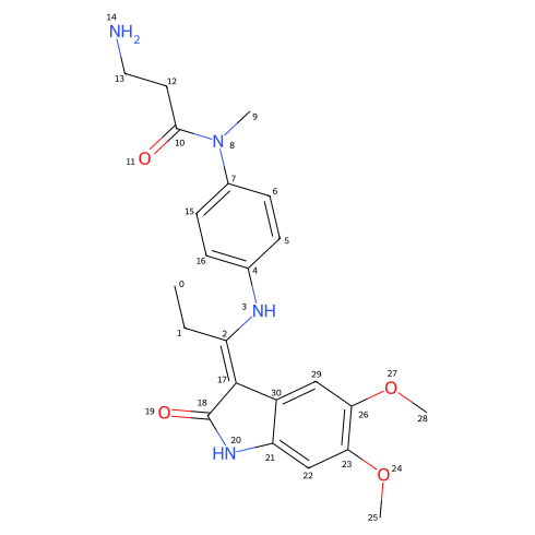 CC/C(Nc1ccc(N(C)C(=O)CCN)cc1)=C1\C(=O)Nc2cc(OC)c(OC)cc21